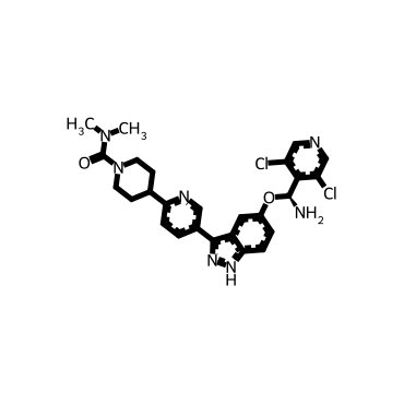 CN(C)C(=O)N1CCC(c2ccc(-c3n[nH]c4ccc(O[C@H](N)c5c(Cl)cncc5Cl)cc34)cn2)CC1